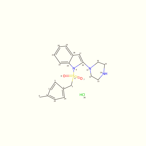 Cc1ccc(CS(=O)(=O)n2c(N3CCNCC3)cc3ccccc32)cc1.Cl